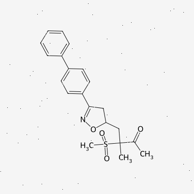 CC(=O)C(C)(CC1CC(c2ccc(-c3ccccc3)cc2)=NO1)S(C)(=O)=O